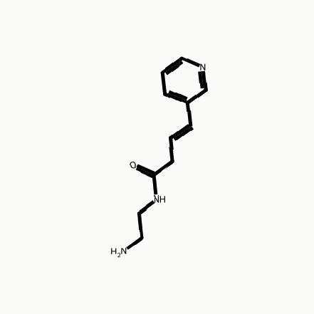 NCCNC(=O)CC=Cc1cccnc1